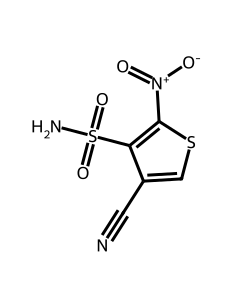 N#Cc1csc([N+](=O)[O-])c1S(N)(=O)=O